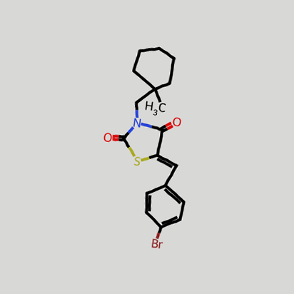 CC1(CN2C(=O)S/C(=C\c3ccc(Br)cc3)C2=O)CCCCC1